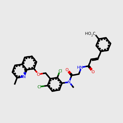 Cc1ccc2cccc(OCc3c(Cl)ccc(N(C)C(=O)CNC(=O)C=Cc4cccc(C(=O)O)c4)c3Cl)c2n1